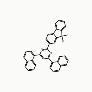 FC1(F)c2ccccc2-c2ccc(-c3nc(-c4cccc5ccccc45)cc(-c4cccc5ccccc45)n3)cc21